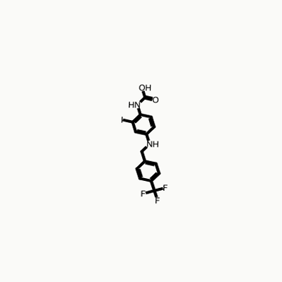 O=C(O)Nc1ccc(NCc2ccc(C(F)(F)F)cc2)cc1I